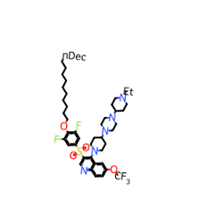 CCCCCCCCCCCCCCCCCCCCOc1c(F)cc(S(=O)(=O)c2cnc3ccc(OC(F)(F)F)cc3c2N2CCC(N3CCN(C4CCN(CC)CC4)CC3)CC2)cc1F